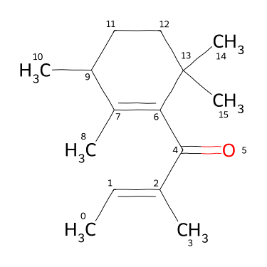 CC=C(C)C(=O)C1=C(C)C(C)CCC1(C)C